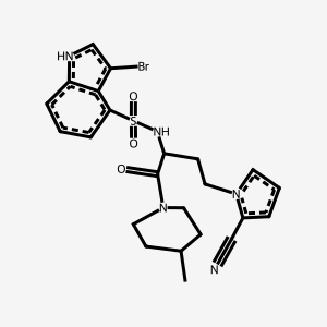 CC1CCN(C(=O)C(CCn2cccc2C#N)NS(=O)(=O)c2cccc3[nH]cc(Br)c23)CC1